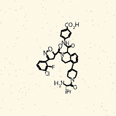 CC(C)[C@H](N)C(=O)N1CC=C(c2cccc3c2CCN(C(=O)C2CC(c4cccc(Cl)c4F)=NO2)C3C(=O)Nc2ccc(C(=O)O)cc2)CC1